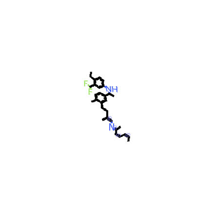 C=C(Nc1ccc(CC)c(C(F)F)c1)c1ccc(C)c(CC/C(C)=C/N=C(C)/C=C\C=C/C)c1